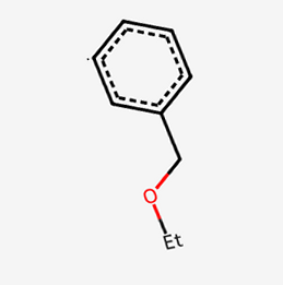 CCOCc1c[c]ccc1